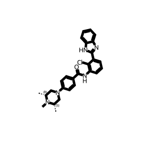 C[C@@H]1CN(c2ccc(C(=O)Nc3cccc(-c4nc5ccccc5[nH]4)c3Cl)cc2)C[C@H](C)N1C